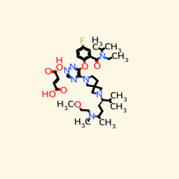 CCN(C(=O)c1cc(F)ccc1Oc1nncnc1N1CCC2(C1)CN([C@H](CCC(C)N(C)CCOC)C(C)C)C2)C(C)C.O=C(O)/C=C/C(=O)O